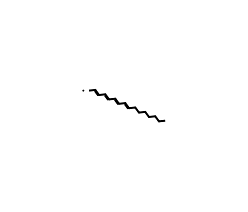 [CH2]C=CC=CC=CC=CCCCCCCC